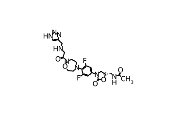 CC(=O)NC[C@H]1CN(c2cc(F)c(N3CCON(C(=O)CNCc4c[nH]nn4)CC3)c(F)c2)C(=O)O1